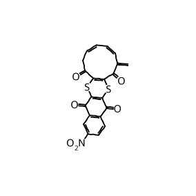 C=C1/C=C\C=C/CC(=O)c2sc3c(=O)c4cc([N+](=O)[O-])ccc4c(=O)c=3sc2C1=O